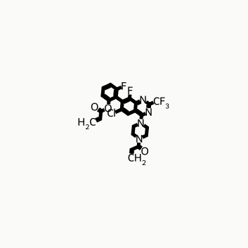 C=CC(=O)Oc1cccc(F)c1-c1c(Cl)cc2c(N3CCN(C(=O)C=C)CC3)nc(C(F)(F)F)nc2c1F